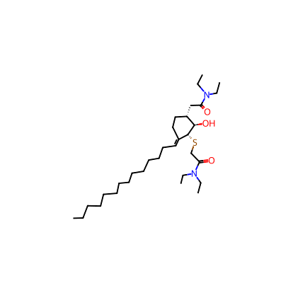 CCCCCCCCCCCCC/C=C1\CC[C@H](CC(=O)N(CC)CC)[C@@H](O)[C@@H]1SCC(=O)N(CC)CC